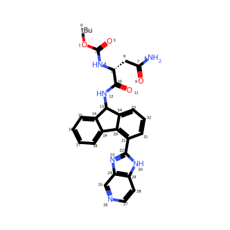 CC(C)(C)OC(=O)N[C@H](CC(N)=O)C(=O)NC1c2ccccc2-c2c(-c3nc4cnccc4[nH]3)cccc21